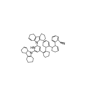 N#Cc1ccccc1C1C=CCCC1C1=CC=CCC1C1=C(C2=CC(n3c4c(c5c3CCCC5)CCC=C4)NC(N3C4=C(CCCC4)C4CCC=CC43)=C2)CCCC1